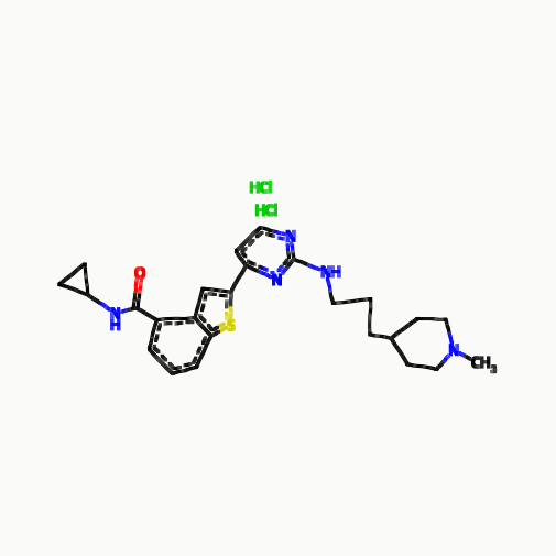 CN1CCC(CCCNc2nccc(-c3cc4c(C(=O)NC5CC5)cccc4s3)n2)CC1.Cl.Cl